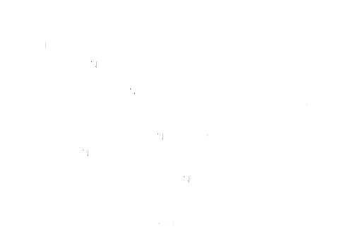 Oc1nc(OCC2CCOCC2)nc2c(-c3cn(C(F)F)cn3)nccc12